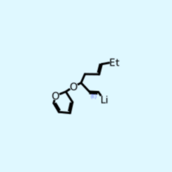 [Li]/[CH]=C/C(CC=CCC)OC1C=CC=CO1